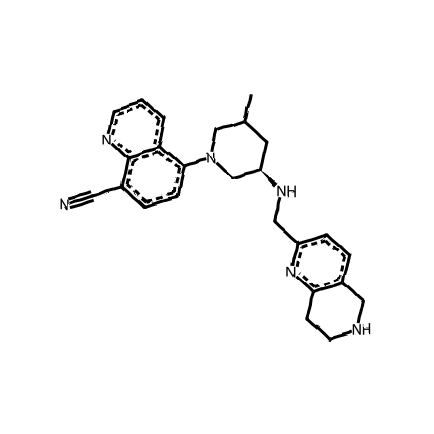 CC1C[C@@H](NCc2ccc3c(n2)CCNC3)CN(c2ccc(C#N)c3ncccc23)C1